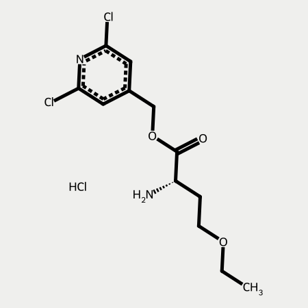 CCOCC[C@H](N)C(=O)OCc1cc(Cl)nc(Cl)c1.Cl